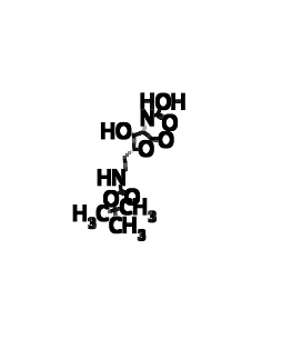 CC(C)(C)OC(=O)NCC[C@H]1OC(=O)[C@@H](NC(=O)O)[C@H]1O